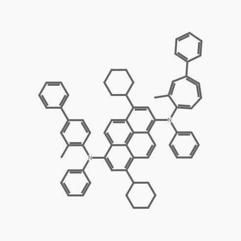 CC1=CC(c2ccccc2)=C=CC=C1N(c1ccccc1)c1cc(C2CCCCC2)c2ccc3c(N(c4ccccc4)c4ccc(-c5ccccc5)cc4C)cc(C4CCCCC4)c4ccc1c2c43